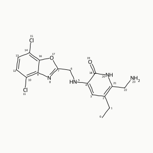 CCc1cc(NCc2nc3c(Cl)ccc(Cl)c3o2)c(=O)[nH]c1CN